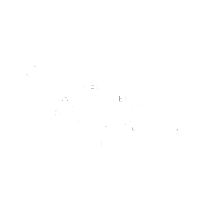 CCC(C)(C)c1cc(-c2cc(C(C)(C)CC)c(OCCCC3CO3)c(C(C)(C)CC)c2)cc(C(C)(C)CC)c1OCCCC1CO1